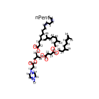 CCCCC/C=C\C/C=C\CCCCCCCC(=O)OCC(COC(=O)CCC(OCCC(C)CCC=C(C)C)OCCC(C)CCC=C(C)C)COC(=O)CCN1CCN(C)CC1